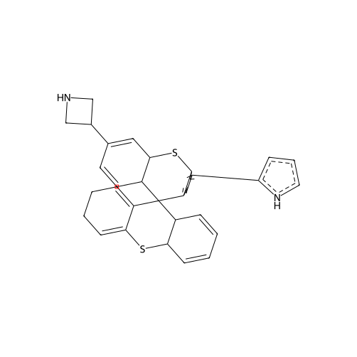 C1=CC2SC3=CCCC=C3C3(C2C=C1)C1C=CC(c2ccc[nH]2)=CC1SC1C=C(C2CNC2)C=CC13